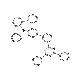 c1ccc(-c2cc(-c3ccccc3)nc(-c3cccc(-c4ccc5c(c4)-c4ccccc4-c4ccccc4N5c4ccccc4)c3)c2)cc1